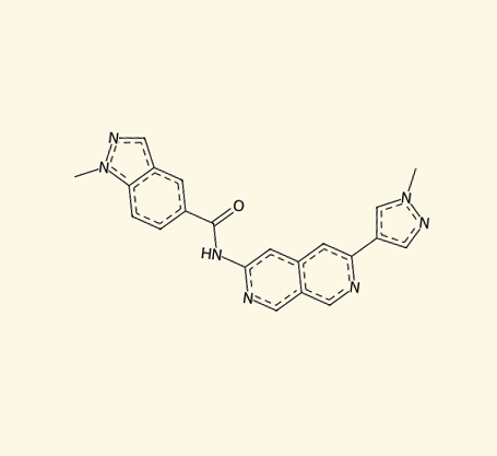 Cn1cc(-c2cc3cc(NC(=O)c4ccc5c(cnn5C)c4)ncc3cn2)cn1